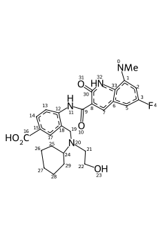 CNc1cc(F)cc2cc(C(=O)Nc3ccc(C(=O)O)cc3CN(CCO)C3CCCCC3)c(=O)[nH]c12